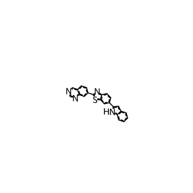 c1ccc2[nH]c(-c3ccc4nc(-c5ccc6cncnc6c5)sc4c3)cc2c1